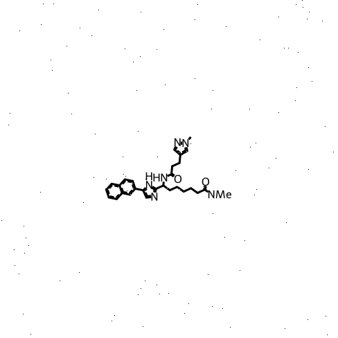 CNC(=O)CCCCCC(NC(=O)CCc1cnn(C)c1)c1ncc(-c2ccc3ccccc3c2)[nH]1